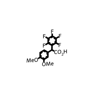 COc1ccc(C(C(=O)O)c2c(F)c(F)c(F)c(F)c2F)cc1OC